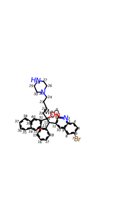 COc1nc2ccc(Br)cc2cc1C(c1ccccc1)C(O)(CCCCN1CCNCC1)c1ccc2ccccc2c1